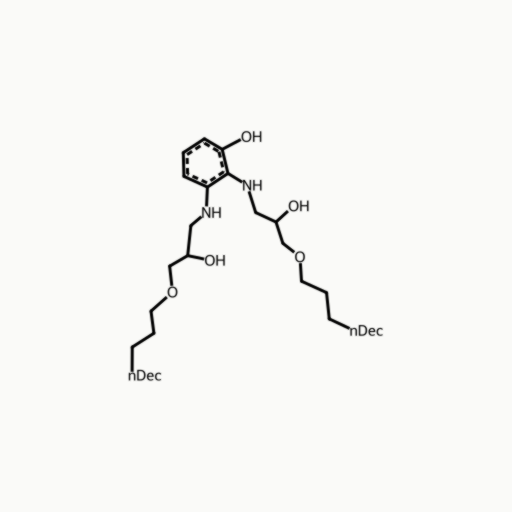 CCCCCCCCCCCCCOCC(O)CNc1cccc(O)c1NCC(O)COCCCCCCCCCCCCC